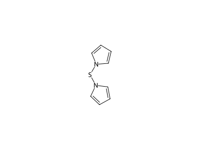 c1ccn(Sn2cccc2)c1